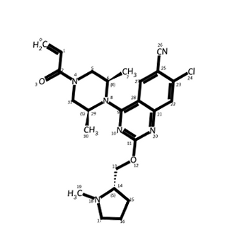 C=CC(=O)N1C[C@@H](C)N(c2nc(OC[C@@H]3CCCN3C)nc3cc(Cl)c(C#N)cc23)[C@@H](C)C1